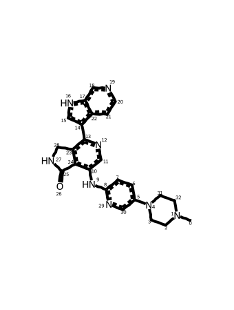 CN1CCN(c2ccc(Nc3cnc(-c4c[nH]c5cnccc45)c4c3C(=O)NC4)nc2)CC1